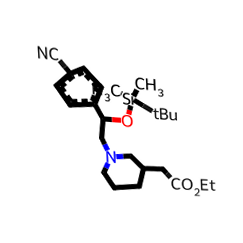 CCOC(=O)CC1CCCN(CC(O[Si](C)(C)C(C)(C)C)c2ccc(C#N)cc2)C1